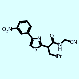 CC(C)CC(C(=O)NCC#N)c1nc(-c2cccc([N+](=O)[O-])c2)cs1